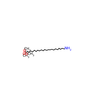 CO[Si](CCCCCCCCCCCCCCCCCCCCCCN)(OC)OC